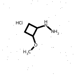 COC1CCC1NN.Cl